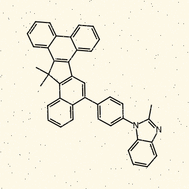 Cc1nc2ccccc2n1-c1ccc(-c2cc3c(c4ccccc24)C(C)(C)c2c-3c3ccccc3c3ccccc23)cc1